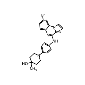 CC1(O)CCN(c2ccc(Nc3nc4ccc(Br)cc4n4ccnc34)cc2)CC1